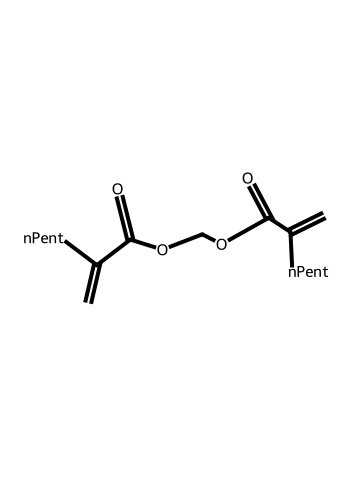 C=C(CCCCC)C(=O)OCOC(=O)C(=C)CCCCC